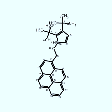 CC(C)(C)C1=C(C(C)(C)C)[SiH](OCc2ccc3ccc4cccc5ccc2c3c45)C=C1